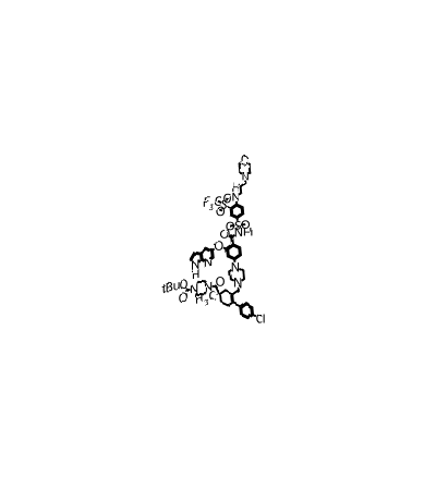 CC(C)(C)OC(=O)N1CCN(C(=O)[C@]2(C)CCC(c3ccc(Cl)cc3)=C(CN3CCN(c4ccc(C(=O)NS(=O)(=O)c5ccc(NCCCN6CCOCC6)c(S(=O)(=O)C(F)(F)F)c5)c(Oc5cnc6[nH]ccc6c5)c4)CC3)C2)CC1